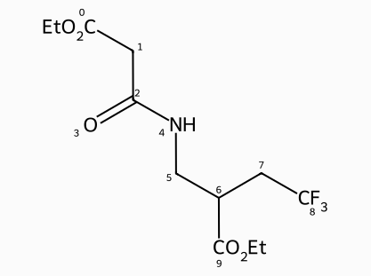 CCOC(=O)CC(=O)NCC(CC(F)(F)F)C(=O)OCC